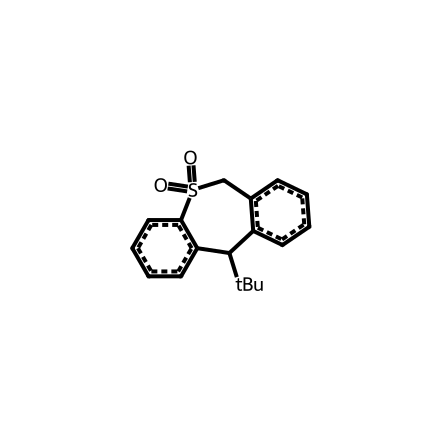 CC(C)(C)C1c2ccccc2CS(=O)(=O)c2ccccc21